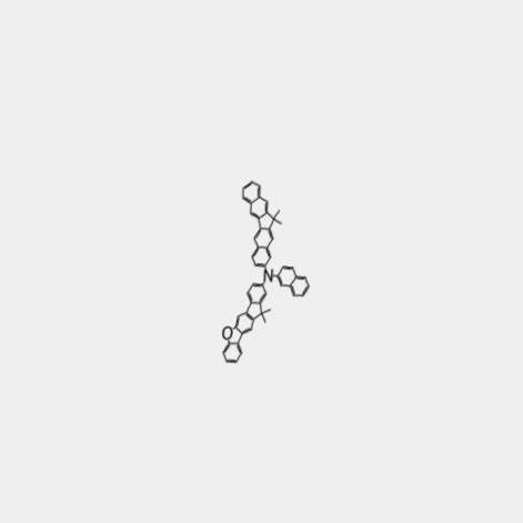 CC1(C)c2cc3ccccc3cc2-c2cc3ccc(N(c4ccc5c(c4)C(C)(C)c4cc6c(cc4-5)oc4ccccc46)c4ccc5ccccc5c4)cc3cc21